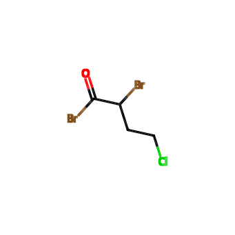 O=C(Br)C(Br)CCCl